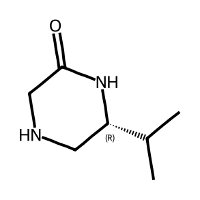 CC(C)[C@@H]1CNCC(=O)N1